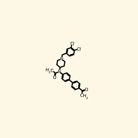 CC(=O)c1ccc(-c2ccc(N(C(C)=O)C3CCN(Cc4ccc(Cl)c(Cl)c4)CC3)cc2)cc1